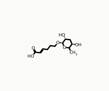 CC1O[C@@H](OCCC/C=C/C(=O)O)[C@H](O)C[C@H]1O